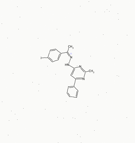 C/C(=N/Nc1cc(-c2ccccc2)nc(C)n1)c1ccc(I)cc1